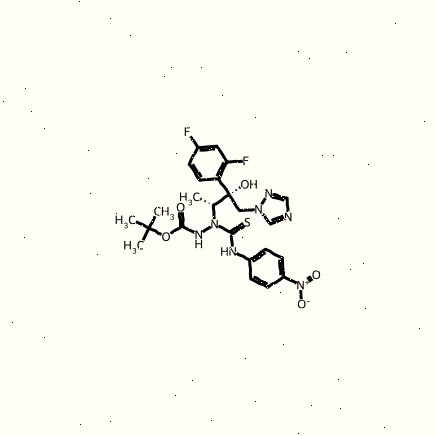 C[C@@H](N(NC(=O)OC(C)(C)C)C(=S)Nc1ccc([N+](=O)[O-])cc1)[C@](O)(Cn1cncn1)c1ccc(F)cc1F